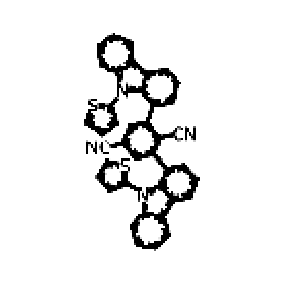 N#Cc1cc(-c2cccc3c4ccccc4n(-c4cccs4)c23)c(C#N)c(-c2cccc3c4ccccc4n(-c4cccs4)c23)c1